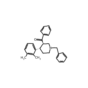 Cc1cccc([C@H]2[CH]CN(Cc3ccccc3)C[C@@H]2C(=O)c2ccccc2)c1C